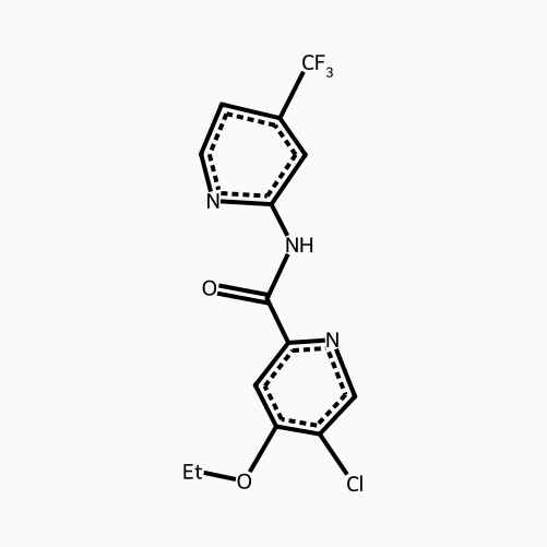 CCOc1cc(C(=O)Nc2cc(C(F)(F)F)ccn2)ncc1Cl